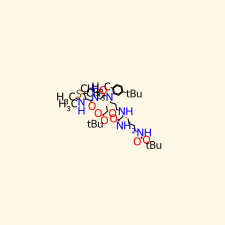 Cc1ccc(C(C)(C)C)cc1N(C(=O)CNC(=O)C1NC(C)(C)SC1(C)C)[C@@H](CCC(=O)OC(C)(C)C)CC(=O)N[C@H](CCCCNC(=O)OC(C)(C)C)C(N)=O